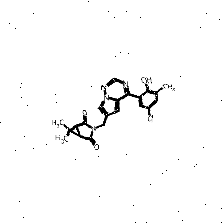 Cc1cc(Cl)cc(-c2ncnn3cc(CN4C(=O)C5C(C4=O)C5(C)C)cc23)c1O